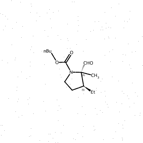 CCCCOC(=O)N1CC[C@H](CC)[C@@]1(C)C=O